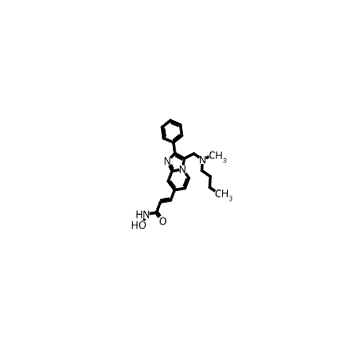 CCCCN(C)Cc1c(-c2ccccc2)nc2cc(C=CC(=O)NO)ccn12